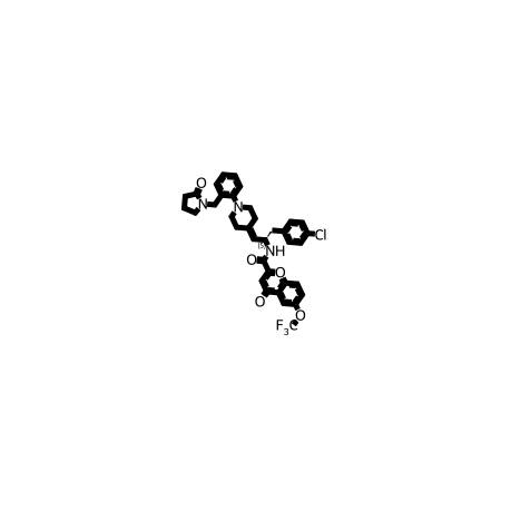 O=C(N[C@H](C=C1CCN(c2ccccc2CN2CCCC2=O)CC1)Cc1ccc(Cl)cc1)c1cc(=O)c2cc(OC(F)(F)F)ccc2o1